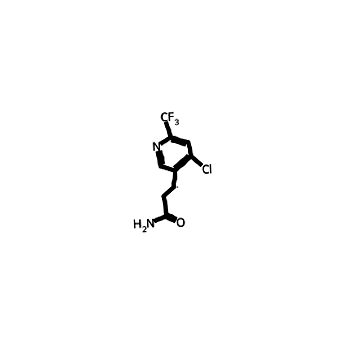 NC(=O)C[CH]c1cnc(C(F)(F)F)cc1Cl